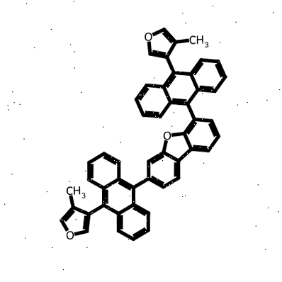 Cc1cocc1-c1c2ccccc2c(-c2ccc3c(c2)oc2c(-c4c5ccccc5c(-c5cocc5C)c5ccccc45)cccc23)c2ccccc12